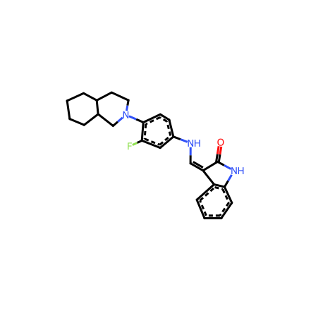 O=C1Nc2ccccc2C1=CNc1ccc(N2CCC3CCCCC3C2)c(F)c1